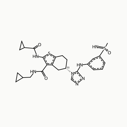 CS(=N)(=O)c1cccc(Nc2nncn2[C@H]2CCc3sc(NC(=O)C4CC4)c(C(=O)NCC4CC4)c3C2)c1